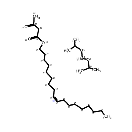 CC(C)[O][AlH][O]C(C)C.CCCCCCCC/C=C\CCCCCCCCOC(=O)CC(C)=O